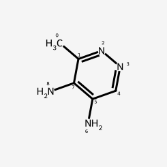 Cc1nncc(N)c1N